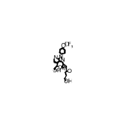 O=C(C=CCO)N1CC(c2nn(-c3ccc(OC(F)(F)F)cc3)c3nccc(C(O)CO)c23)C1